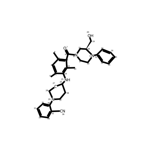 Cc1cc(C)c(C(=O)N2CCN(c3ccccc3)[C@H](CO)C2)c(C)c1NC1CCN(c2ccccc2C#N)CC1